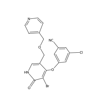 N#Cc1cc(Cl)cc(Oc2c(COCc3ccncc3)c[nH]c(=O)c2Br)c1